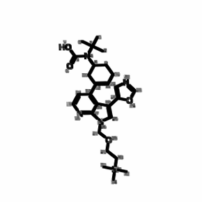 CC(C)(C)N(C(=O)O)C1CCC=C(c2ccnc3c2c(-c2cnco2)cn3COCC[Si](C)(C)C)C1